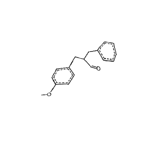 COc1ccc(CC(C=O)Cc2ccccc2)cc1